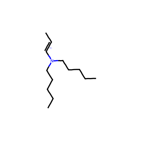 C/C=C/N(CCCCC)CCCCC